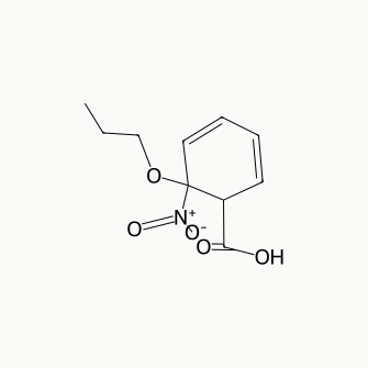 CCCOC1([N+](=O)[O-])C=CC=CC1C(=O)O